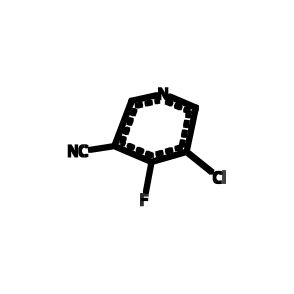 N#Cc1cncc(Cl)c1F